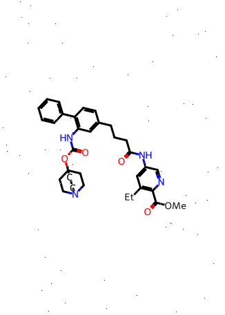 CCc1cc(NC(=O)CCCc2ccc(-c3ccccc3)c(NC(=O)OC34CCN(CC3)CC4)c2)cnc1C(=O)OC